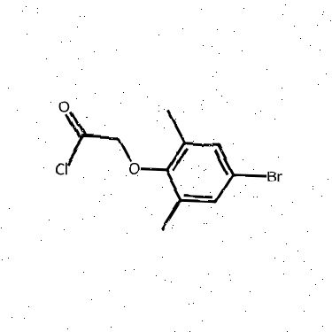 Cc1cc(Br)cc(C)c1OCC(=O)Cl